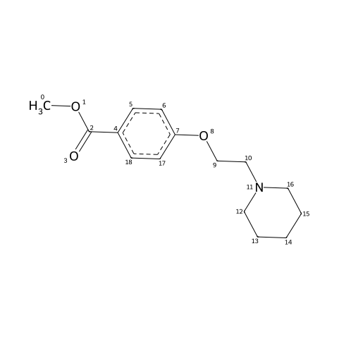 COC(=O)c1ccc(OCCN2CCCCC2)cc1